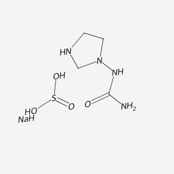 NC(=O)NN1CCNC1.O=S(O)O.[NaH]